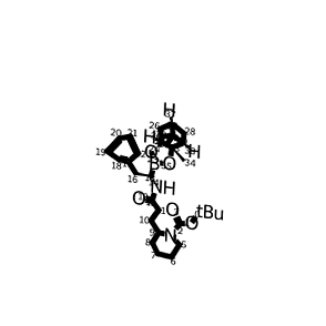 CC(C)(C)OC(=O)N1CCCCC1CCC(=O)N[C@@H](Cc1ccccc1)B1O[C@@H]2C[C@@H]3C[C@@H](C3(C)C)[C@]2(C)O1